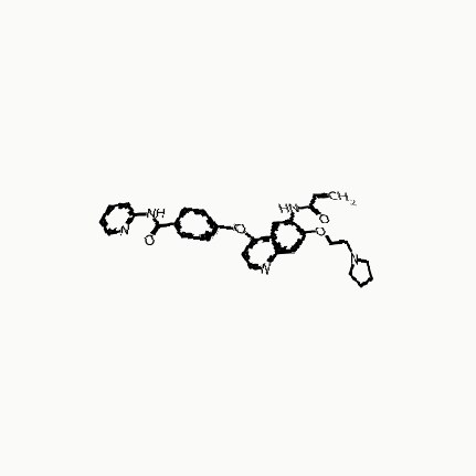 C=CC(=O)Nc1cc2c(Oc3ccc(C(=O)Nc4ccccn4)cc3)ccnc2cc1OCCN1CCCC1